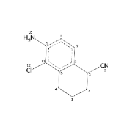 N#CC1CCCc2c1ccc(N)c2Cl